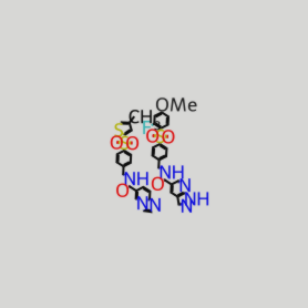 COc1ccc(S(=O)(=O)c2ccc(CNC(=O)c3cnc4[nH]ncc4c3)cc2)c(F)c1.Cc1csc(S(=O)(=O)c2ccc(CNC(=O)c3ccc4nccn4c3)cc2)c1